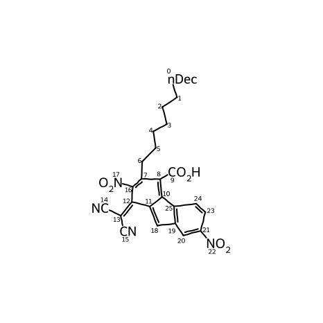 CCCCCCCCCCCCCCCCc1c(C(=O)O)c2c(c(=C(C#N)C#N)c1[N+](=O)[O-])=Cc1cc([N+](=O)[O-])ccc1-2